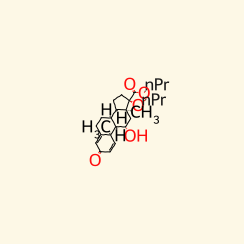 CCCOC(=O)[C@@]1(OCCC)CC[C@H]2[C@@H]3CCC4=CC(=O)C=C[C@]4(C)[C@H]3[C@@H](O)C[C@@]21C